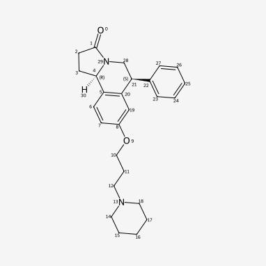 O=C1CC[C@@H]2c3ccc(OCCCN4CCCCC4)cc3[C@H](c3ccccc3)CN12